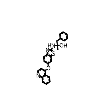 CC(O)(Cc1ccccc1)Nc1nc2ccc(Oc3ccnc4ccccc34)cc2s1